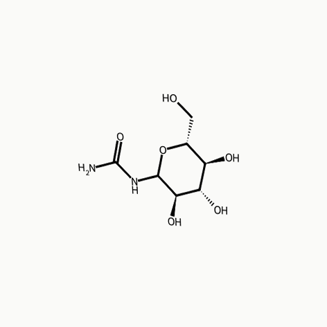 NC(=O)NC1O[C@H](CO)[C@@H](O)[C@H](O)[C@H]1O